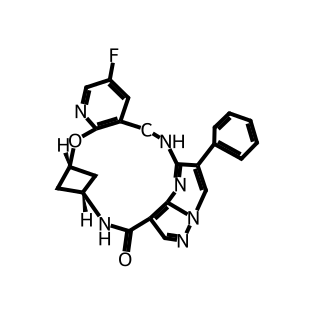 O=C1N[C@H]2C[C@H](C2)Oc2ncc(F)cc2CNc2nc3c1cnn3cc2-c1ccccc1